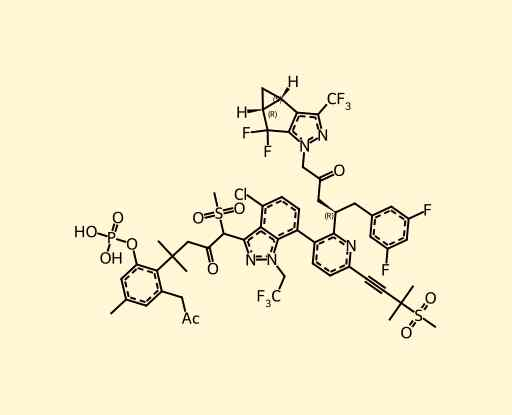 CC(=O)Cc1cc(C)cc(OP(=O)(O)O)c1C(C)(C)CC(=O)C(c1nn(CC(F)(F)F)c2c(-c3ccc(C#CC(C)(C)S(C)(=O)=O)nc3[C@@H](CC(=O)Cn3nc(C(F)(F)F)c4c3C(F)(F)[C@@H]3C[C@H]43)Cc3cc(F)cc(F)c3)ccc(Cl)c12)S(C)(=O)=O